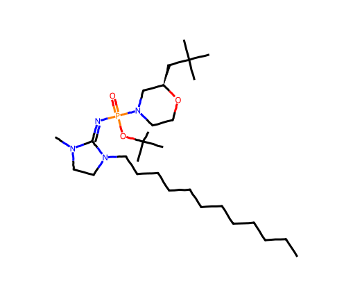 CCCCCCCCCCCCN1CCN(C)/C1=N/P(=O)(OC(C)(C)C)N1CCO[C@H](CC(C)(C)C)C1